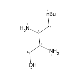 CCCCCC(N)C(N)CO